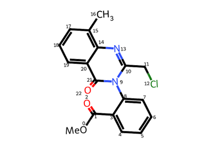 COC(=O)c1ccccc1-n1c(CCl)nc2c(C)cccc2c1=O